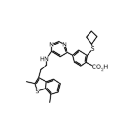 Cc1sc2c(C)cccc2c1CCNc1cc(-c2ccc(C(=O)O)c(SC3CCC3)c2)ncn1